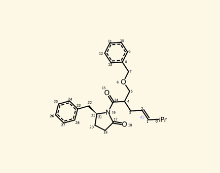 CC(C)/C=C/CC(COCc1ccccc1)C(=O)N1C(=O)CC[C@H]1Cc1ccccc1